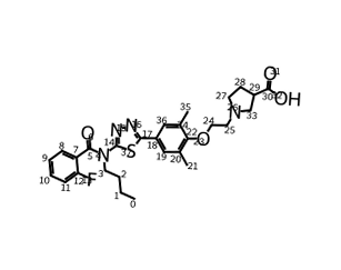 CCCCN(C(=O)c1ccccc1F)c1nnc(-c2cc(C)c(OCCN3CCC(C(=O)O)C3)c(C)c2)s1